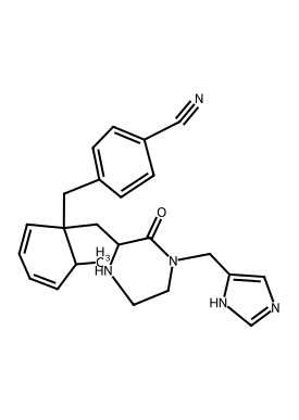 CC1C=CC=CC1(Cc1ccc(C#N)cc1)CC1NCCN(Cc2cnc[nH]2)C1=O